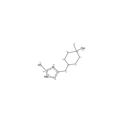 CC1(O)CCC(Cc2c[nH]c(S)n2)CC1